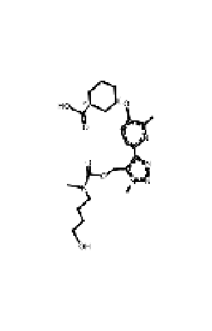 Cc1nc(-c2nnn(C)c2COC(=O)N(C)CCCCO)ccc1O[C@H]1CCC[C@H](C(=O)O)C1